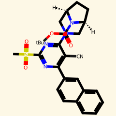 CC(C)(C)OC(=O)N1[C@@H]2CC[C@H]1CN(c1nc(S(C)(=O)=O)nc(-c3ccc4ccccc4c3)c1C#N)C2